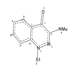 CCn1nc(NC)c(=O)c2ccccc21